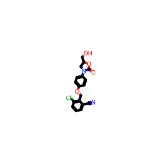 N#Cc1cccc(Cl)c1COc1ccc(N2CC(CO)OC2=O)cc1